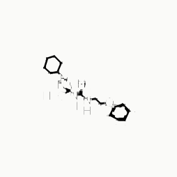 CC(C)(N=NC1CCCCC1)NC(=O)NCCOc1ccccc1